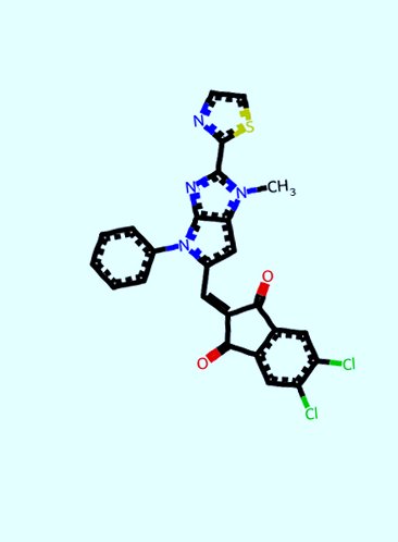 Cn1c(-c2nccs2)nc2c1cc(C=C1C(=O)c3cc(Cl)c(Cl)cc3C1=O)n2-c1ccccc1